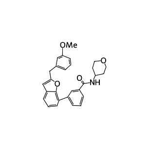 COc1cccc(Cc2cc3cccc(-c4cccc(C(=O)NC5CCOCC5)c4)c3o2)c1